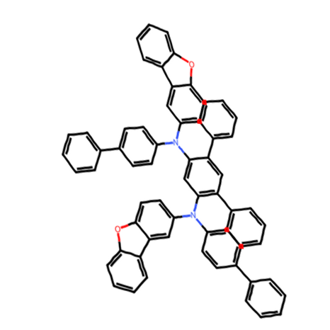 c1ccc(-c2ccc(N(c3ccc4oc5ccccc5c4c3)c3cc(N(c4ccc(-c5ccccc5)cc4)c4ccc5oc6ccccc6c5c4)c(-c4ccccc4)cc3-c3ccccc3)cc2)cc1